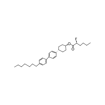 CCCCCCCc1ccc(-c2ccc([C@H]3CC[C@H](OC(=O)[C@@H](F)CCCC)CC3)cc2)cc1